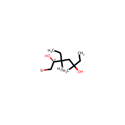 CCC(C)(O)CC(C)(CC)[C@H](O)CBr